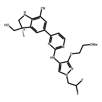 COCCOc1nn(CC(F)F)cc1Nc1nccc(-c2cc(C#N)c3c(c2)[C@@](C)(CO)CN3)n1